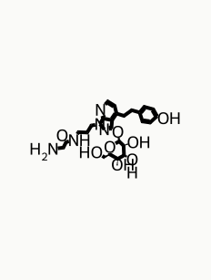 NCC(=O)NCCCn1nc(O[C@@H]2O[C@H](CO)[C@@H](O)[C@H](O)[C@H]2O)c2c(CCc3ccc(O)cc3)ccnc21